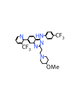 COC1CCN(CCc2nc(Nc3ccc(C(F)(F)F)cc3)c3ccc(-c4ncccc4C(F)(F)F)cc3n2)CC1